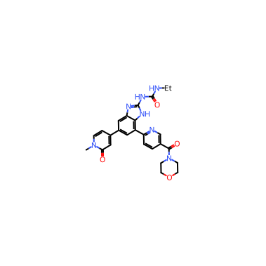 CCNC(=O)Nc1nc2cc(-c3ccn(C)c(=O)c3)cc(-c3ccc(C(=O)N4CCOCC4)cn3)c2[nH]1